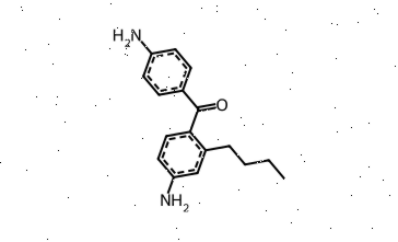 CCCCc1cc(N)ccc1C(=O)c1ccc(N)cc1